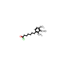 Cc1c(CCCCCCC(=O)Cl)ccc([N+](=O)[O-])c1C=O